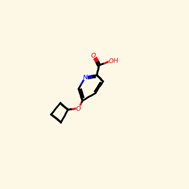 O=C(O)c1ccc(OC2CCC2)cn1